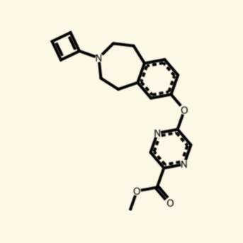 COC(=O)c1cnc(Oc2ccc3c(c2)CCN(C2=CC=C2)CC3)cn1